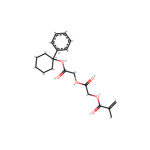 C=C(C)C(=O)OCC(=O)OCC(=O)OC1(c2ccccc2)CCCCC1